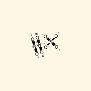 O=S(=O)([O-])[O-].O=[N+]=O.O=[N+]=O